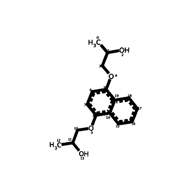 CC(O)COc1ccc(OCC(C)O)c2ccccc12